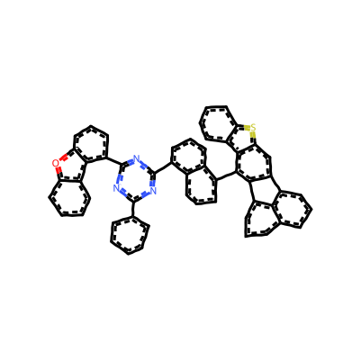 c1ccc(-c2nc(-c3cccc4c(-c5c6c(cc7sc8ccccc8c57)-c5cccc7cccc-6c57)cccc34)nc(-c3cccc4oc5ccccc5c34)n2)cc1